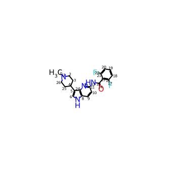 CN1CCC(c2c[nH]c3ccc(NC(=O)c4c(F)cccc4F)nc23)CC1